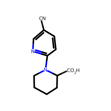 N#Cc1ccc(N2CCCCC2C(=O)O)nc1